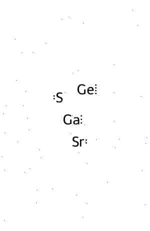 [Ga].[Ge].[S].[Sr]